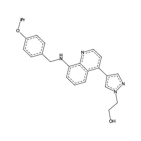 CC(C)Oc1ccc(CNc2cccc3c(-c4cnn(CCO)c4)ccnc23)cc1